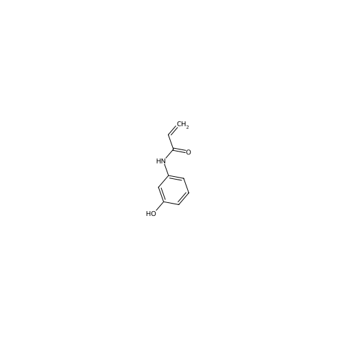 C=CC(=O)Nc1cccc(O)c1